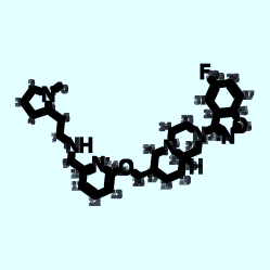 CN1CCCC1CCNCc1cccc(OC[C@@H]2CC[C@H]3CN(c4noc5ccc(F)cc45)CCN3C2)n1